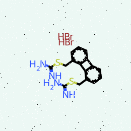 Br.Br.N=C(N)SCc1cccc2c1-c1c(CSC(=N)N)cccc1-2